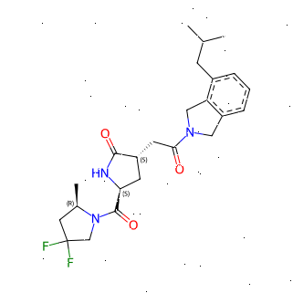 CC(C)Cc1cccc2c1CN(C(=O)C[C@@H]1C[C@@H](C(=O)N3CC(F)(F)C[C@H]3C)NC1=O)C2